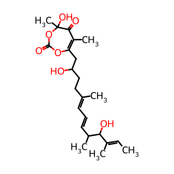 C/C=C(\C)C(O)C(C)/C=C/C=C(\C)CCC(O)CC1=C(C)C(=O)C(C)(O)OC(=O)O1